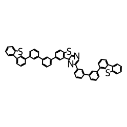 c1cc(-c2cccc(-c3cccc4c3sc3ccccc34)c2)cc(-c2ccc3sc4ncc(-c5cccc(-c6cccc(-c7cccc8c7sc7ccccc78)c6)c5)nc4c3c2)c1